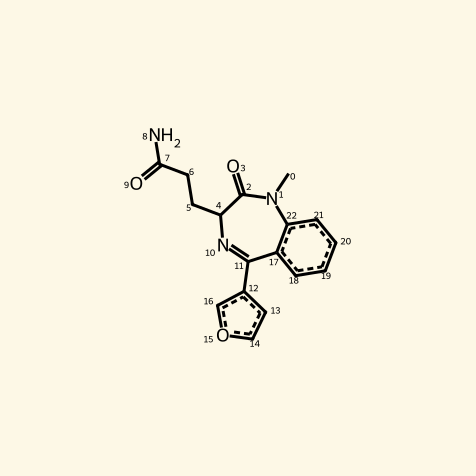 CN1C(=O)C(CCC(N)=O)N=C(c2ccoc2)c2ccccc21